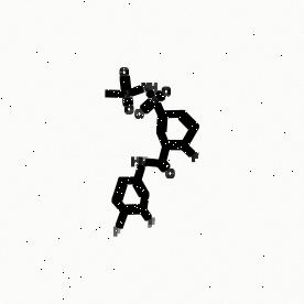 CS(=O)(=O)NS(=O)(=O)c1ccc(F)c(C(=O)Nc2ccc(F)c(F)c2)c1